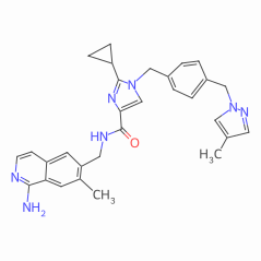 Cc1cnn(Cc2ccc(Cn3cc(C(=O)NCc4cc5ccnc(N)c5cc4C)nc3C3CC3)cc2)c1